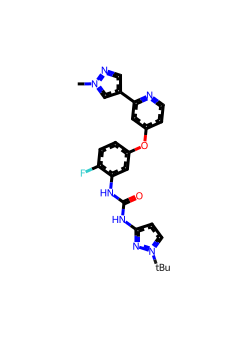 Cn1cc(-c2cc(Oc3ccc(F)c(NC(=O)Nc4ccn(C(C)(C)C)n4)c3)ccn2)cn1